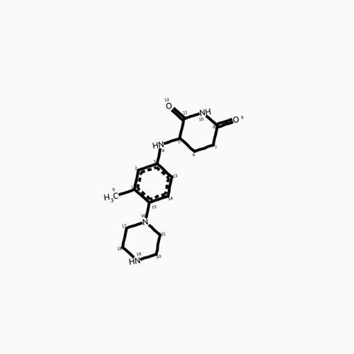 Cc1cc(NC2CCC(=O)NC2=O)ccc1N1CCNCC1